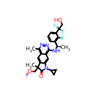 Cc1nnc(N[C@H](C)c2cccc(C(F)(F)CO)c2F)c2cc3c(cc12)C(C)(COI)C(=O)N3C1CC1